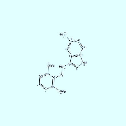 COc1cccc(OC)c1CNc1c[nH]c2ccc(C(=O)O)cc12